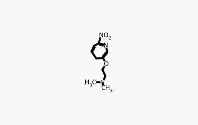 CN(C)CCOC1=CN=C([N+](=O)[O-])C=CC1